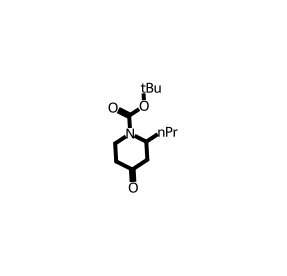 CCCC1CC(=O)CCN1C(=O)OC(C)(C)C